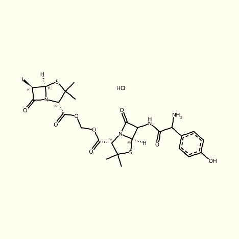 CC1(C)S[C@@H]2C(NC(=O)C(N)c3ccc(O)cc3)C(=O)N2[C@H]1C(=O)OCOC(=O)[C@@H]1N2C(=O)[C@@H](I)[C@H]2SC1(C)C.Cl